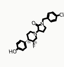 O=C1C(N2CC[C@@H](c3ccc(O)cc3)[C@H](F)C2)CCN1Cc1ccc(Cl)cc1